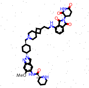 COc1cc2nn([C@H]3CC[C@H](CN4CCC5(CC4)CC(CCNc4cccc6c4C(=O)N(C4CCC(=O)NC4=O)C6=O)C5)CC3)cc2cc1NC(=O)[C@@H]1CCCCN1